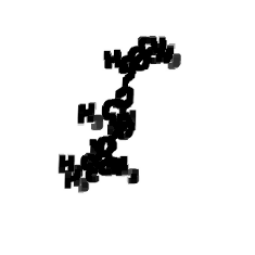 Cc1cc(CCC(=O)OC(C)(C)C)ccc1-c1noc(-c2cnc(N(C)C(C)C)c(C#N)c2)n1